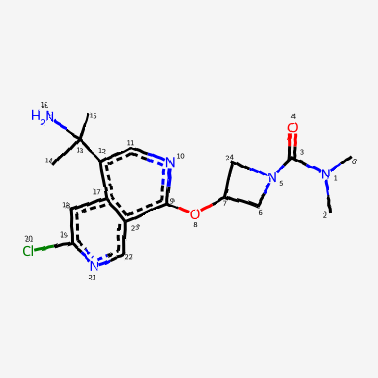 CN(C)C(=O)N1CC(Oc2ncc(C(C)(C)N)c3cc(Cl)ncc23)C1